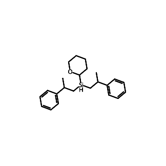 CC(C[SiH](CC(C)c1ccccc1)C1CCCCO1)c1ccccc1